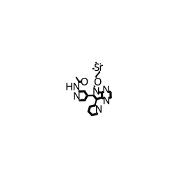 CC(=O)Nc1cc(-c2c(-c3ccccn3)c3nccnc3n2COCC[Si](C)(C)C)ccn1